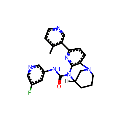 Cc1ccncc1-c1ccc2c(n1)N(C(=O)Nc1cncc(F)c1)[C@H]1CCCN2C1